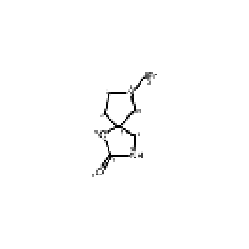 CC(C)N1CCC2(CNC(=O)O2)C1